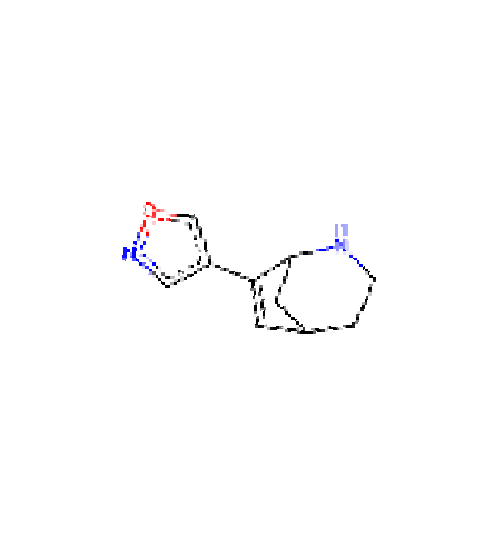 C1=C(c2cnoc2)C2CC1CCN2